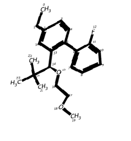 CCc1ccc(-c2ccccc2F)c([C@@H](OCCOC)C(C)(C)C)c1